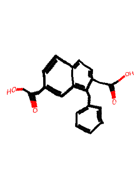 O=C(O)c1ccc2ccc(C(=O)O)c(-c3ccccc3)c2c1